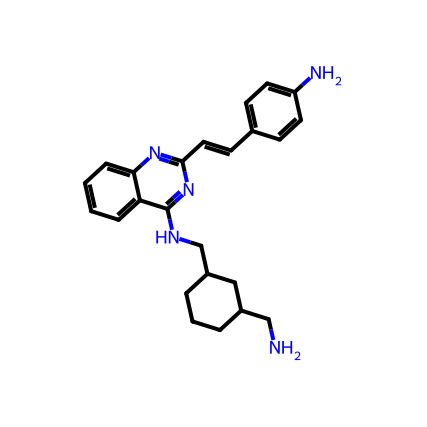 NCC1CCCC(CNc2nc(/C=C/c3ccc(N)cc3)nc3ccccc23)C1